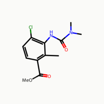 COC(=O)c1ccc(Cl)c(NC(=O)N(C)C)c1C